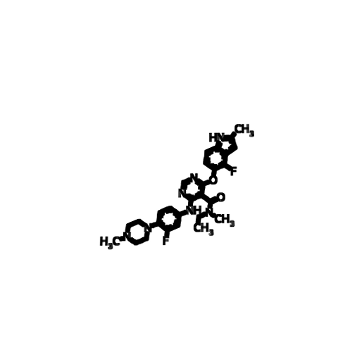 CCN(C)C(=O)c1c(Nc2ccc(N3CCN(C)CC3)c(F)c2)ncnc1Oc1ccc2[nH]c(C)cc2c1F